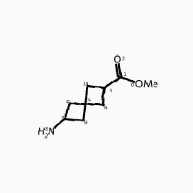 COC(=O)C1CC2(CC(N)C2)C1